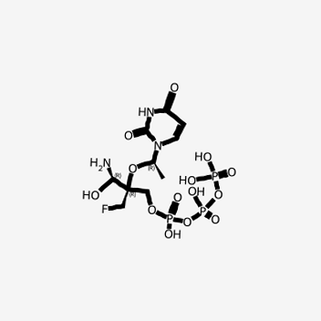 C[C@@H](O[C@](CF)(COP(=O)(O)OP(=O)(O)OP(=O)(O)O)[C@H](N)O)n1ccc(=O)[nH]c1=O